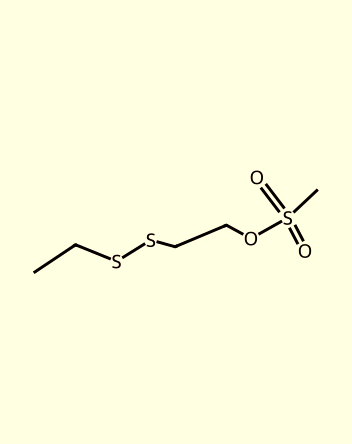 CCSSCCOS(C)(=O)=O